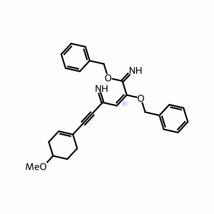 COC1CC=C(C#CC(=N)/C=C(/OCc2ccccc2)C(=N)OCc2ccccc2)CC1